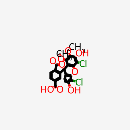 COc1c(O)c(Cl)c2c(c1OC)C1(OC(=O)c3ccc(C(=O)O)cc31)c1ccc(O)c(Cl)c1O2